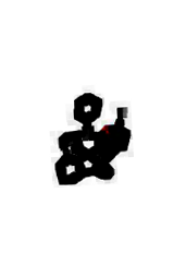 Fc1ccc(-c2cccc3c2C2(c4ccccc4-3)c3ccccc3N(c3ccccc3)c3ccccc32)cc1